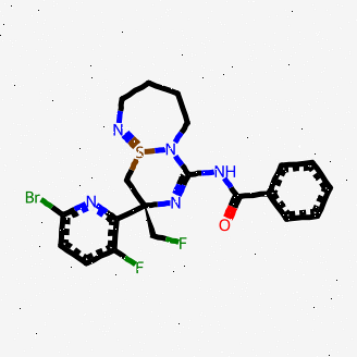 O=C(NC1=N[C@](CF)(c2nc(Br)ccc2F)CS2=NCCCCN12)c1ccccc1